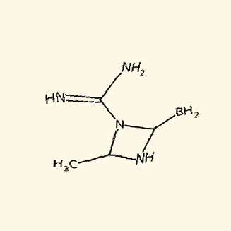 BC1NC(C)N1C(=N)N